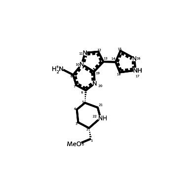 COC[C@@H]1CC[C@H](c2cc(N)n3ncc(-c4cn[nH]c4)c3n2)CN1